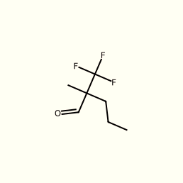 CCCC(C)(C=O)C(F)(F)F